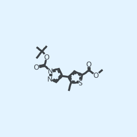 COC(=O)c1cc(-c2cnn(C(=O)OC(C)(C)C)c2)c(C)s1